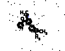 C/C=C/c1ccc(N2CCN[C@@H](CC(C)C)C2)nc1C(=O)c1cccnc1